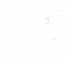 COc1ncccc1-c1cc(C(=O)NS(C)(=O)=O)ccc1Oc1ccccc1C(F)(F)F